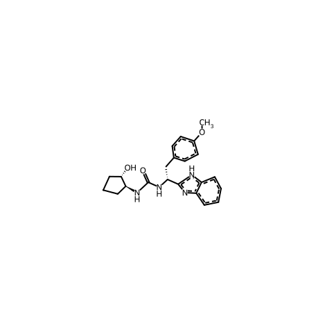 COc1ccc(C[C@@H](NC(=O)N[C@H]2CCC[C@@H]2O)c2nc3ccccc3[nH]2)cc1